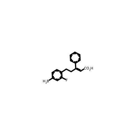 Bc1ccc(CC/C(=C/C(=O)O)c2ccccc2)c(F)c1